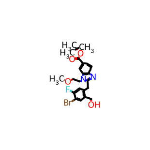 COCCn1c(Cc2cc(F)c(Br)cc2CO)nc2ccc(C(=O)OC(C)(C)C)cc21